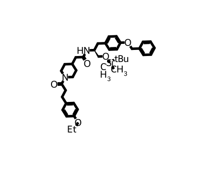 CCOc1ccc(CCC(=O)N2CCC(CC(=O)N[C@H](CO[Si](C)(C)C(C)(C)C)Cc3ccc(OCc4ccccc4)cc3)CC2)cc1